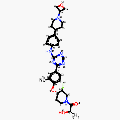 C[C@H](O)C(=O)N1CC[C@H](Oc2ccc(-c3ncnc(Nc4ccc(C5CCN(C6COC6)CC5)cc4)n3)cc2C#N)[C@@H](F)C1